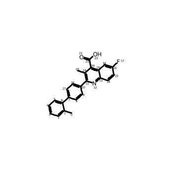 Cc1ccccc1-c1ccc(-c2nc3ccc(F)cc3c(C(=O)O)c2C)cc1